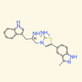 Cc1n[nH]c2ccc(C3=CN(C[C@H](N)Cc4c[nH]c5ccccc45)C(N)S3)cc12